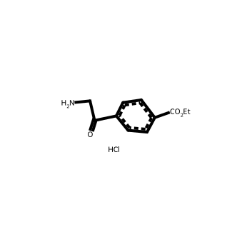 CCOC(=O)c1ccc(C(=O)CN)cc1.Cl